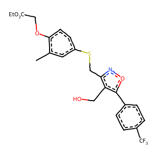 CCOC(=O)COc1ccc(SCc2noc(-c3ccc(C(F)(F)F)cc3)c2CO)cc1C